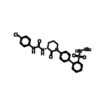 CC(C)(C)NS(=O)(=O)c1ccccc1-c1ccc(N2CCC[C@@H](NC(=O)Nc3ccc(Cl)cc3)C2=O)cc1